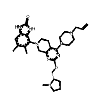 C=CCN1CCN(c2nc(OC[C@@H]3CCCN3C)nc3c2CCN(c2c(C)c(C)cc4[nH]c(=O)[nH]c24)C3)CC1